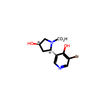 O=C(O)N1C[C@H](O)C[C@H]1c1cncc(Br)c1O